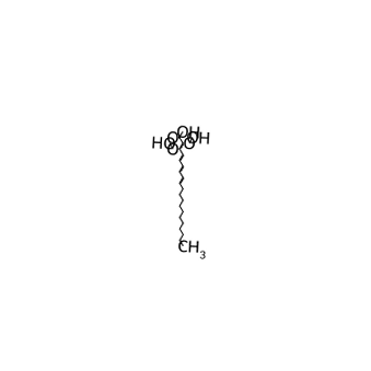 CCCCCCCCCCCC=CC=CC=CC(OO)=C(OO)C(=O)O